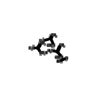 C=C(C)C(=O)O.C=C(C)C(=O)O.C=C(C)C(=O)O.C[CH](C)[Ti]